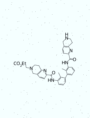 CCOC(=O)CN1CCc2nc(C(=O)Nc3cccc(-c4cccc(NC(=O)c5ccc6c(n5)CCNC6)c4C)c3C)ccc2C1